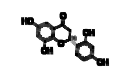 O=C1C[C@H](c2ccc(O)cc2O)Oc2c(O)cc(O)cc21